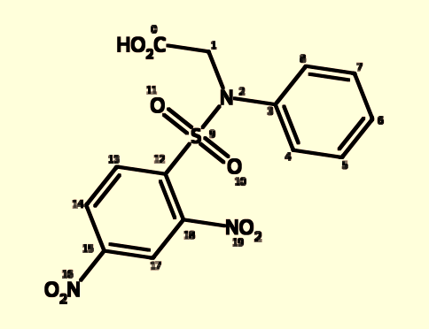 O=C(O)CN(c1ccccc1)S(=O)(=O)c1ccc([N+](=O)[O-])cc1[N+](=O)[O-]